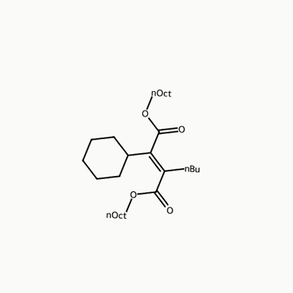 CCCCCCCCOC(=O)C(CCCC)=C(C(=O)OCCCCCCCC)C1CCCCC1